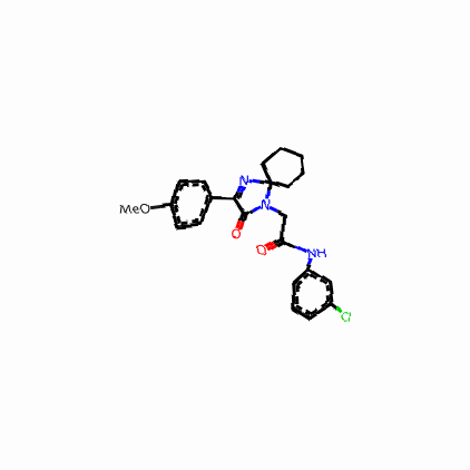 COc1ccc(C2=NC3(CCCCC3)N(CC(=O)Nc3cccc(Cl)c3)C2=O)cc1